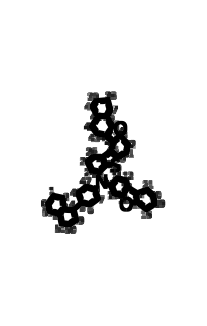 c1ccc2c(-c3ccc(N(c4ccc5c(c4)oc4ccccc45)c4cccc5c4sc4ccc6oc7c8ccccc8ccc7c6c45)cc3)cccc2c1